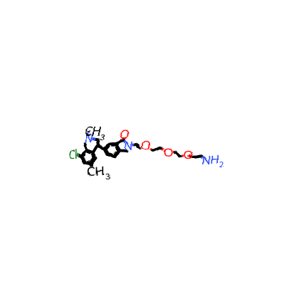 Cc1cc(Cl)c2c(c1)C(c1ccc3c(c1)C(=O)N(CCOCCOCCOCCN)C3)CN(C)C2